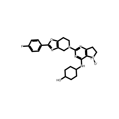 [O-][S@+]1CCc2nc(N3CCc4oc(-c5ccc(F)cc5)nc4C3)nc(NC3CCC(O)CC3)c21